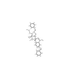 CCCSP(=O)(OC)N(CCSc1ccccc1)C(=Nc1ccc(Oc2ccccc2)cc1)SCC